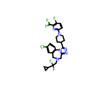 Fc1ccc(N2CCC(c3nnc4n3-c3ccc(Cl)cc3CN(CC(F)(F)C3CC3)C4)CC2)nc1C(F)F